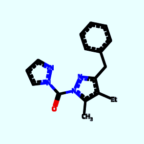 CCc1c(Cc2ccccc2)nn(C(=O)n2cccn2)c1C